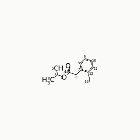 CC(C)OC(=O)Cc1ccccc1I